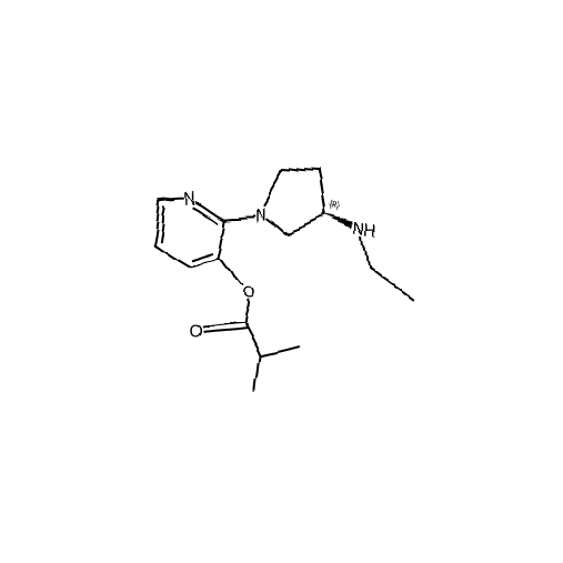 CCN[C@@H]1CCN(c2ncccc2OC(=O)C(C)C)C1